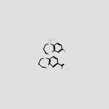 COC(=O)c1ccc2c(c1)OCCCN2.Cc1ccc2c(c1)OCCCN2C(C)(C)C